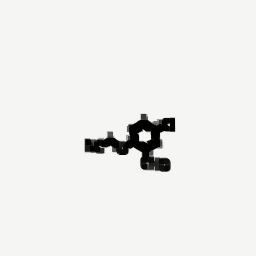 N#CCOc1ccc(Cl)cc1C=O